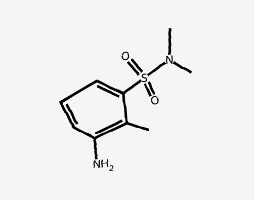 Cc1c(N)cccc1S(=O)(=O)N(C)C